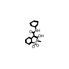 CN1C(O)=C(C(=O)Nc2ccccc2)c2ccccc2S1(=O)=O